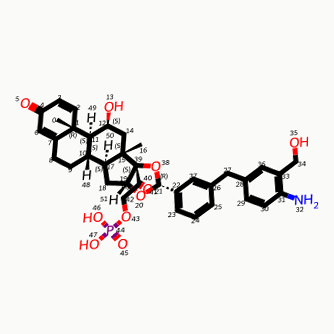 C[C@]12C=CC(=O)C=C1CC[C@@H]1[C@@H]2[C@@H](O)C[C@@]2(C)[C@H]1C[C@H]1O[C@@H](c3cccc(Cc4ccc(N)c(CO)c4)c3)O[C@]12C(=O)COP(=O)(O)O